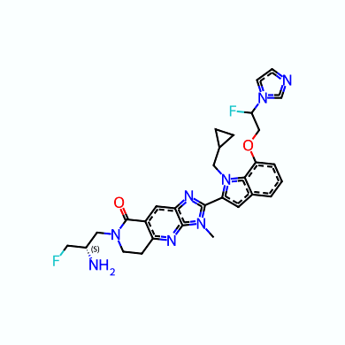 Cn1c(-c2cc3cccc(OCC(F)n4ccnc4)c3n2CC2CC2)nc2cc3c(nc21)CCN(C[C@H](N)CF)C3=O